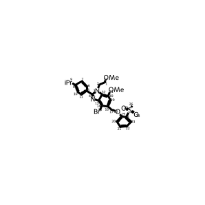 COCCn1c(-c2ccc(C(C)C)cc2)nc2c(Br)c(COc3ccccc3S(C)(=O)=O)cc(OC)c21